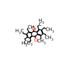 CCc1c(CC)c(CC)c2c(c1CC)C(=O)c1c(CC)c(CC)c(CC)c(CC)c1C2=O